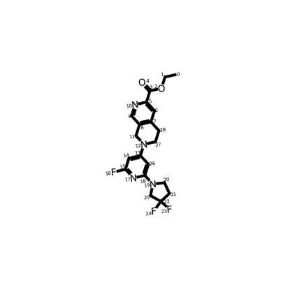 CCOC(=O)c1cc2c(cn1)CN(c1cc(F)nc(N3CCC(F)(F)C3)c1)CC2